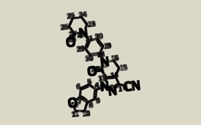 N#Cc1nn(-c2ccc3c(c2)CCO3)c2c1CCN(c1ccc(N3CCCCC3=O)cc1)C2=O